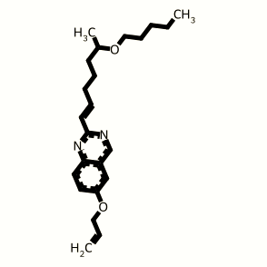 C=CCOc1ccc2nc(C=CCCCC(C)OCCCCC)ncc2c1